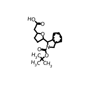 CC(C)(C)OC(=O)N1Cc2ccccc2C1C1CCC(CC(=O)O)O1